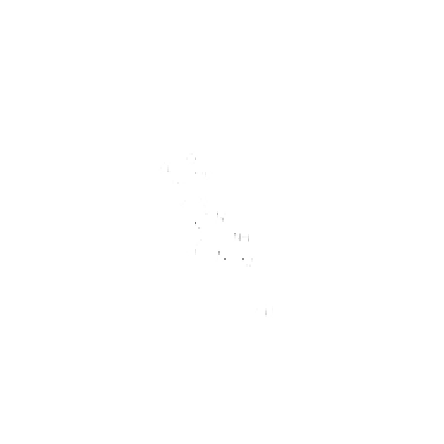 COC(=O)c1cc(CN2C(=O)C3C(NC(NCCCO)N3C)N(C)C2=O)ccc1Cl